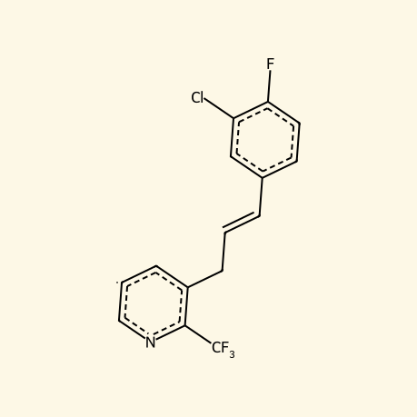 Fc1ccc(C=CCc2c[c]cnc2C(F)(F)F)cc1Cl